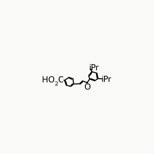 CC(C)c1cc(C(=O)/C=C/c2ccc(C(=O)O)cc2)cc(C(C)C)c1